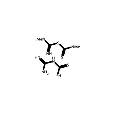 CNC(=N)SC(=S)NC.N=C(N)NC(=S)S